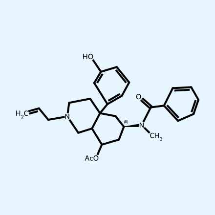 C=CCN1CCC2(c3cccc(O)c3)C[C@@H](N(C)C(=O)c3ccccc3)CC(OC(C)=O)C2C1